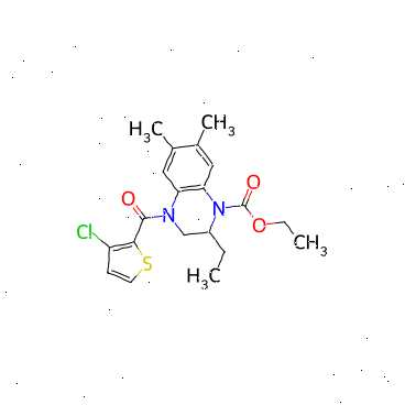 CCOC(=O)N1c2cc(C)c(C)cc2N(C(=O)c2sccc2Cl)CC1CC